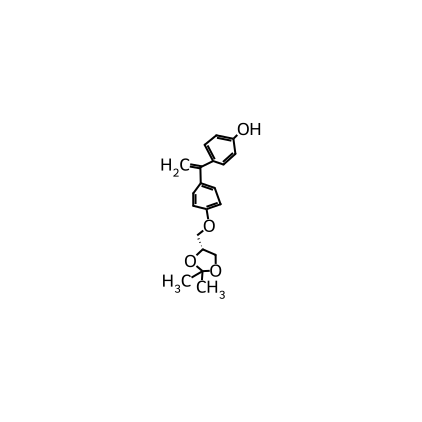 C=C(c1ccc(O)cc1)c1ccc(OC[C@@H]2COC(C)(C)O2)cc1